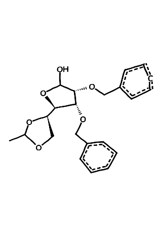 CC1OC[C@H]([C@H]2OC(O)[C@H](OCc3ccccc3)[C@@H]2OCc2ccccc2)O1